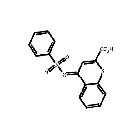 O=C(O)c1cc(=NS(=O)(=O)c2ccccc2)c2ccccc2s1